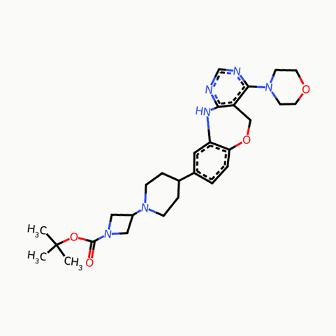 CC(C)(C)OC(=O)N1CC(N2CCC(c3ccc4c(c3)Nc3ncnc(N5CCOCC5)c3CO4)CC2)C1